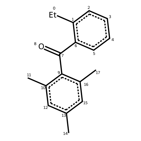 CCc1[c]cccc1C(=O)c1c(C)cc(C)cc1C